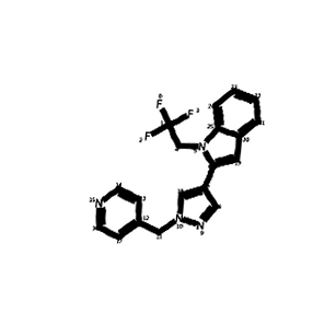 FC(F)(F)Cn1c(-c2cnn(Cc3ccncc3)c2)cc2ccccc21